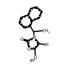 CC(C)Oc1oc(=O)n(C(C)c2cccc3ccccc23)c1C(C)C